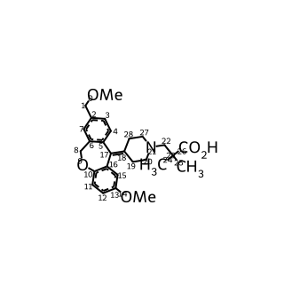 COCc1ccc2c(c1)COc1ccc(OC)cc1C2=C1CCN(CC(C)(C)C(=O)O)CC1